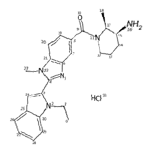 CCn1c(-c2nc3cc(C(=O)N4CCC[C@H](N)[C@@H]4C)ccc3n2C)cc2ccccc21.Cl